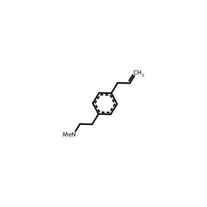 [CH2]NCCc1ccc(CC=C)cc1